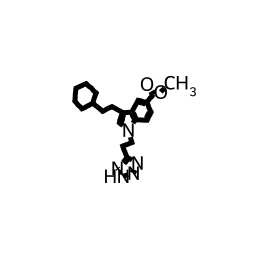 COC(=O)c1ccc2c(c1)c(CCC1CCCCC1)cn2CCc1nn[nH]n1